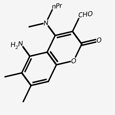 CCCN(C)c1c(C=O)c(=O)oc2cc(C)c(C)c(N)c12